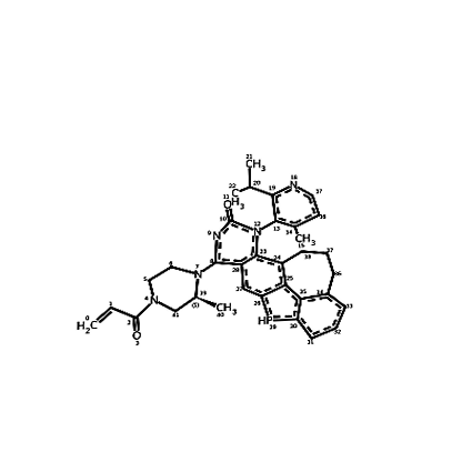 C=CC(=O)N1CCN(c2nc(=O)n(-c3c(C)ccnc3C(C)C)c3c4c5c(cc23)[pH]c2cccc(c25)CCC4)[C@@H](C)C1